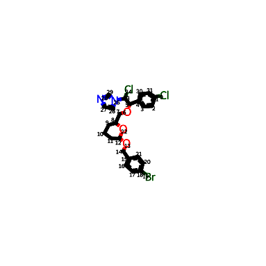 Clc1ccc(C(OCC2CCCC(OCc3ccc(Br)cc3)O2)C(Cl)n2ccnc2)cc1